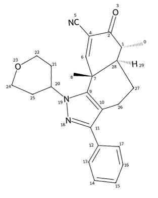 C[C@H]1C(=O)C(C#N)=C[C@@]2(C)c3c(c(-c4ccccc4)nn3C3CCOCC3)CC[C@H]12